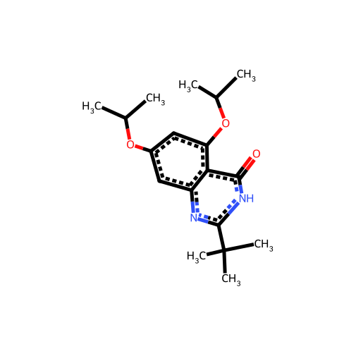 CC(C)Oc1cc(OC(C)C)c2c(=O)[nH]c(C(C)(C)C)nc2c1